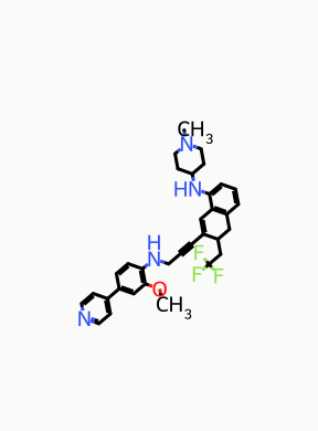 COc1cc(-c2ccncc2)ccc1NCC#CC1=Cc2c(cccc2NC2CCN(C)CC2)CC1CC(F)(F)F